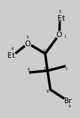 CCOC(OCC)C(C)(C)CBr